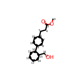 COC(=O)CCc1ccc(-c2ccccc2CO)cc1